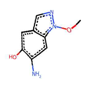 COn1ncc2cc(O)c(N)cc21